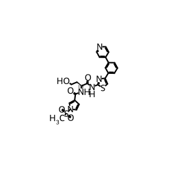 CS(=O)(=O)n1ccc(C(=O)N[C@@H](CCO)C(=O)Nc2nc(-c3cccc(-c4ccncc4)c3)cs2)c1